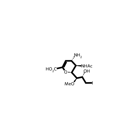 CO[C@@H]([C@@H]1OC(C(=O)O)=C[C@H](N)[C@H]1NC(C)=O)[C@H](O)CI